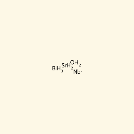 O.[BiH3].[Nb].[SrH2]